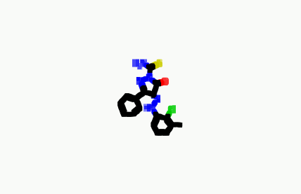 Cc1cccc(N/N=C2/C(=O)N(C(N)=S)N=C2c2ccccc2)c1Cl